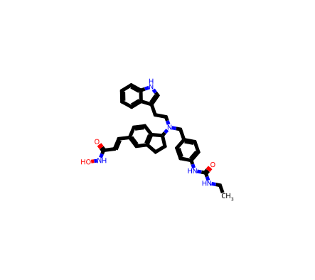 CCNC(=O)Nc1ccc(CN(CCc2c[nH]c3ccccc23)C2CCc3cc(/C=C/C(=O)NO)ccc32)cc1